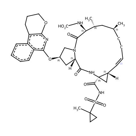 C[C@H]1CC/C=C\[C@@H]2C[C@@]2(C(=O)NS(=O)(=O)C2(C)CC2)NC(=O)[C@@H]2C[C@@H](Oc3nc4c(c5ccccc35)CCCO4)CN2C(=O)[C@@H](NC(=O)O)[C@H](C)C1